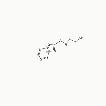 ClCCOCc1cc2ccccn2n1